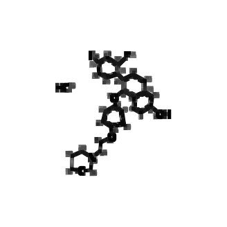 Cl.Oc1ccc2c(Oc3ccc(OCCN4CCCCC4)cc3)c(-c3ccc(F)cc3F)ccc2c1